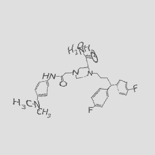 CN(C)c1ccc(NC(=O)CN2CCN(CCCC(c3ccc(F)cc3)c3ccc(F)cc3)C(C(N)=O)C2)cc1.O